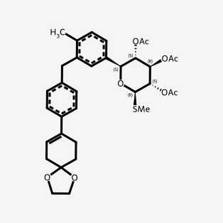 CS[C@H]1O[C@@H](c2ccc(C)c(Cc3ccc(C4=CCC5(CC4)OCCO5)cc3)c2)[C@H](OC(C)=O)[C@@H](OC(C)=O)[C@@H]1OC(C)=O